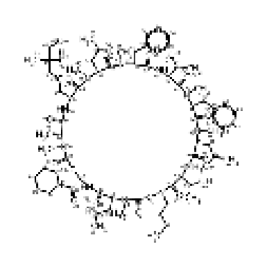 CCCCN1CC(=O)N(C)[C@@H](CC(C)C)C(=O)N[C@H](C(=O)N2CCCCC2)CC(=O)N(C)[C@@H](C)C(=O)N[C@@H](COCC(C)(C)CO)C(=O)N(C)[C@@H](CC(C)C)C(=O)N(C)[C@@H](Cc2ccccc2)C(=O)N[C@@H](C(C)C)C(=O)N(C)[C@@H](Cc2ccccc2)C(=O)N(C)[C@@H](CC(C)C)C(=O)N[C@@H]([C@@H](C)O)C1=O